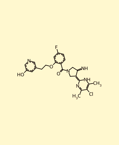 CC1=N/C(=C2\CN(C(=O)c3ccc(F)cc3OCCc3cncc(O)c3)CC2=N)NC(C)=C1Cl